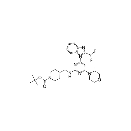 C[C@@H]1COCCN1c1cc(-n2c(C(F)F)nc3ccccc32)nc(NCC2CCN(C(=O)OC(C)(C)C)CC2)n1